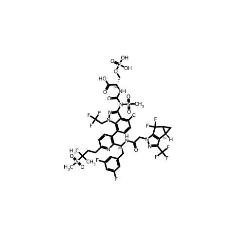 CC(C)(CCc1ccc(-c2ccc(Cl)c3c(N(C(=O)N[C@@H](COP(=O)(O)O)C(=O)O)S(C)(=O)=O)nn(CC(F)(F)F)c23)c([C@H](Cc2cc(F)cc(F)c2)NC(=O)Cn2nc(C(F)(F)F)c3c2C(F)(F)C2C[C@H]32)n1)S(C)(=O)=O